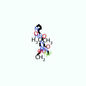 C=CCOC(=O)N1CCN(C(C)(C)C(=O)NCC(=O)c2ccccn2)C[C@H]1C(=O)NCC(F)(F)F